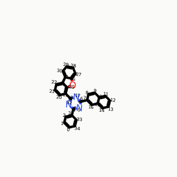 c1ccc(-c2nc(-c3ccc4ccccc4c3)nc(-c3cccc4c3oc3ccccc34)n2)cc1